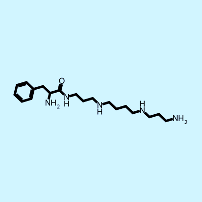 NCCCNCCCCNCCCNC(=O)C(N)Cc1ccccc1